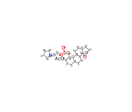 CC(=O)OC1CCC2CCC3C(CCC4CCC5OC453)C2C1OC(=O)OCCN1CCCC1